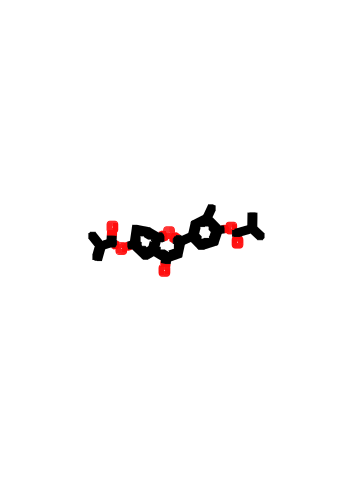 C=C(C)C(=O)Oc1ccc2oc(-c3ccc(OC(=O)C(=C)C)c(C)c3)cc(=O)c2c1